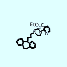 CCOC(=O)c1cccnc1N1CCN(CCC=C2c3ccccc3CCc3ccccc32)CC1